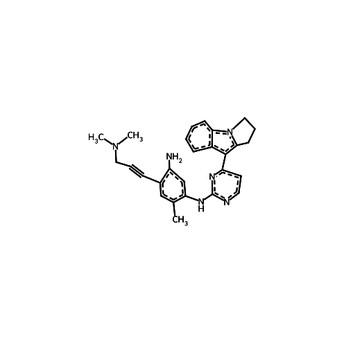 Cc1cc(C#CCN(C)C)c(N)cc1Nc1nccc(-c2c3n(c4ccccc24)CCC3)n1